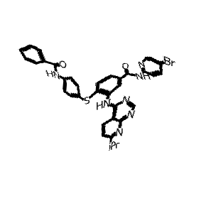 CC(C)c1ccc2c(Nc3cc(C(=O)Nc4ccc(Br)cn4)ccc3Sc3ccc(NC(=O)c4ccccc4)cc3)ncnc2n1